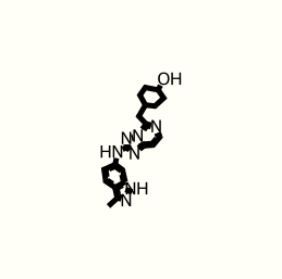 Cc1n[nH]c2cc(Nc3nc4ccnc(CC5CCC(O)CC5)n4n3)ccc12